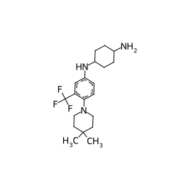 CC1(C)CCN(c2ccc(NC3CCC(N)CC3)cc2C(F)(F)F)CC1